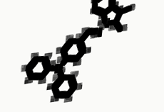 CC1c2ccccc2N(N=Cc2ccc(N(c3ccccc3)c3ccccc3)cc2)C1C